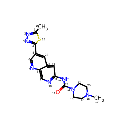 Cc1nnc(-c2cnc3cnc(NC(=O)N4CCN(C)CC4)cc3c2)s1